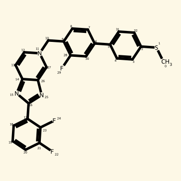 CSc1ccc(-c2ccc(Cn3ccc4nc(-c5cccc(F)c5F)nc-4c3)c(F)c2)cc1